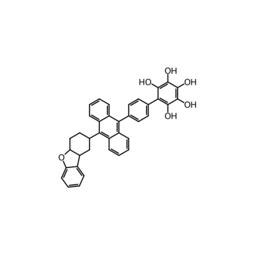 Oc1c(O)c(O)c(-c2ccc(-c3c4ccccc4c(C4CCC5Oc6ccccc6C5C4)c4ccccc34)cc2)c(O)c1O